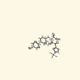 CC(C)(C)c1ccc(C(=O)N(N)[C@@H](Cc2ccc(-c3ncc(Br)cn3)cc2)C(=O)O)s1